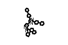 c1ccc(-c2ccc(-c3cc(-c4ccnc(-c5nc6ccccc6c6c5ccc5ccccc56)c4)nc(-c4ccc(-c5ccccc5)cc4)n3)cc2)cc1